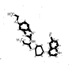 CCOc1ccc2nc(NC(CC)C[C@H]3CC[C@@H](c4ccnc5ccc(F)cc54)CC3)sc2c1